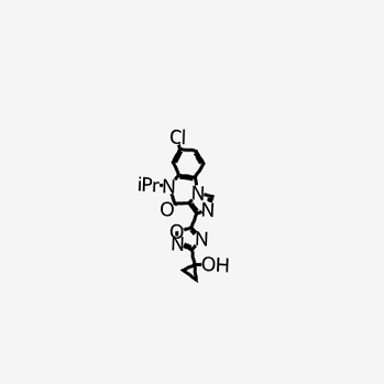 CC(C)n1c(=O)c2c(-c3nc(C4(O)CC4)no3)ncn2c2ccc(Cl)cc21